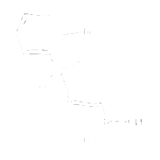 CN(C)C=NS(=O)(=O)c1ccccc1Br